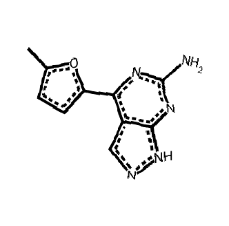 Cc1ccc(-c2nc(N)nc3[nH]ncc23)o1